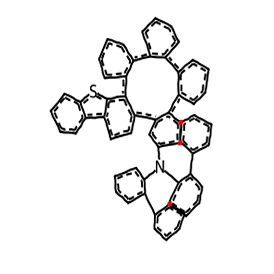 c1ccc(-c2ccccc2N(c2ccc3c4ccccc4c4ccccc4c4ccccc4c4c(ccc5c6ccccc6sc54)c3c2)c2ccccc2-c2ccccc2)cc1